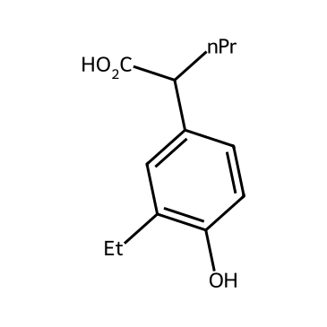 CCCC(C(=O)O)c1ccc(O)c(CC)c1